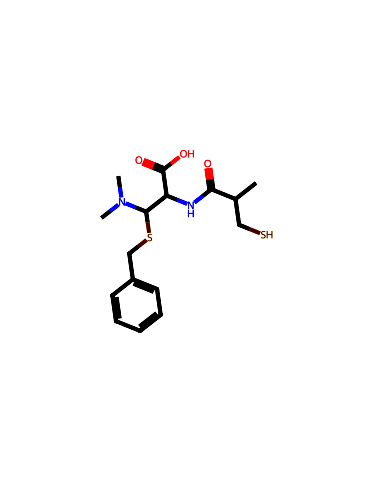 CC(CS)C(=O)NC(C(=O)O)C(SCc1ccccc1)N(C)C